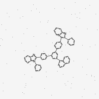 c1ccc(-c2nc3ccccn3c2-c2ccc(-c3cc(-c4ccc(-c5nc6ccccc6n5-c5ccccc5)cc4)cc(-c4cccc5ccccc45)c3)cc2)cc1